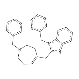 C1=C(Cc2nc3ccccc3n2Cc2ccccn2)CCN(Cc2ccccc2)CC1